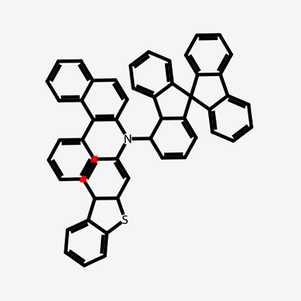 C1=CC(N(C2=CC3Sc4ccccc4C3C=C2)c2ccc3ccccc3c2-c2ccccc2)C2C(=C1)C1(c3ccccc3-c3ccccc31)c1ccccc12